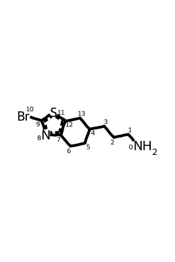 NCCCC1CCc2nc(Br)sc2C1